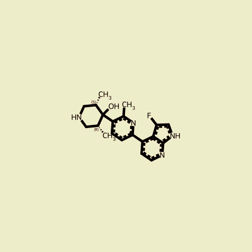 Cc1nc(-c2ccnc3[nH]cc(F)c23)ccc1C1(O)[C@H](C)CNC[C@@H]1C